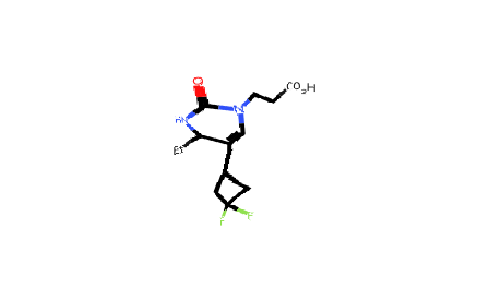 CCC1NC(=O)N(CCC(=O)O)C=C1C1CC(F)(F)C1